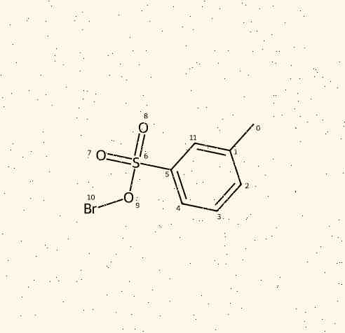 Cc1cccc(S(=O)(=O)OBr)c1